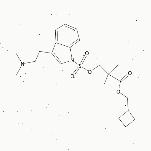 CN(C)CCc1cn(S(=O)(=O)OCC(C)(C)C(=O)OCC2CCC2)c2ccccc12